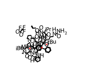 C=CCOC(=O)N[C@H](C(=O)N[C@@H](CCCNC(N)=O)C(=O)Nc1ccc(C[N+]2(C)[C@@H]3CC[C@@H](C3)[C@H]2C(=O)N[C@H](C(=O)N(C)[C@@H]([C@@H](C)CC)[C@@H](CC(=O)N2CCC[C@H]2[C@H](OC)[C@@H](C)C(=O)N[C@@H](Cc2ccccc2)C(=O)OC(C)(C)C)OC)C(C)C)c(CNC)c1)C(C)C.O=C([O-])C(F)(F)F